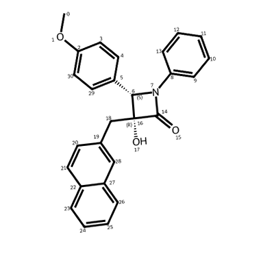 COc1ccc([C@@H]2N(c3ccccc3)C(=O)[C@@]2(O)Cc2ccc3ccccc3c2)cc1